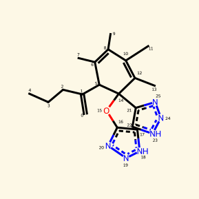 C=C(CCC)C1C(C)=C(C)C(C)=C(C)C1(Oc1c[nH]nn1)c1c[nH]nn1